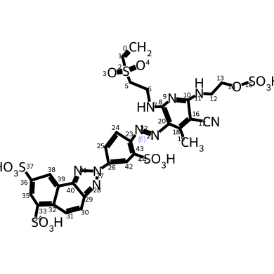 C=CS(=O)(=O)CCNc1nc(NCCOS(=O)(=O)O)c(C#N)c(C)c1/N=N/c1ccc(-n2nc3ccc4c(S(=O)(=O)O)cc(S(=O)(=O)O)cc4c3n2)cc1S(=O)(=O)O